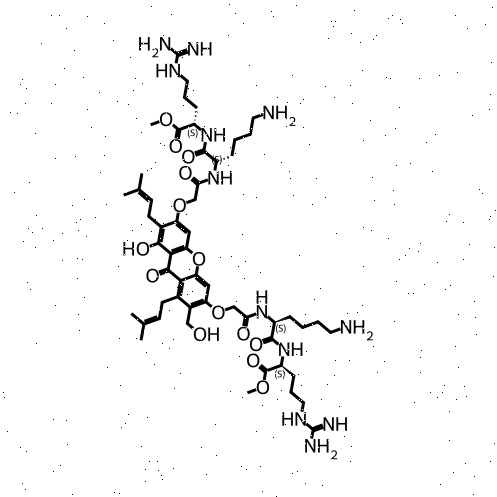 COC(=O)[C@H](CCCNC(=N)N)NC(=O)[C@H](CCCCN)NC(=O)COc1cc2oc3cc(OCC(=O)N[C@@H](CCCCN)C(=O)N[C@@H](CCCNC(=N)N)C(=O)OC)c(CO)c(CC=C(C)C)c3c(=O)c2c(O)c1CC=C(C)C